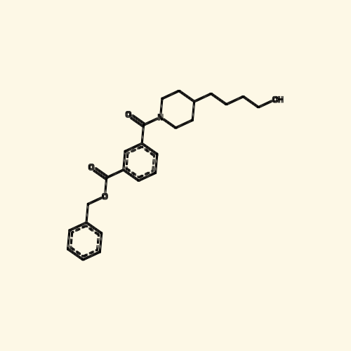 O=C(OCc1ccccc1)c1cccc(C(=O)N2CCC(CCCCO)CC2)c1